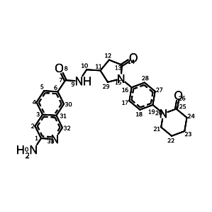 Nc1cc2ccc(C(=O)NCC3CC(=O)N(c4ccc(N5CCCCC5=O)cc4)C3)cc2cn1